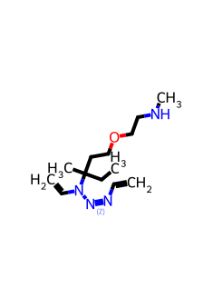 C=C/N=N\N(C=C)C(C)(CC)CCOCCNC